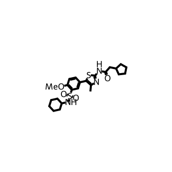 COc1ccc(-c2sc(NC(=O)CC3CCCC3)nc2C)cc1S(=O)(=O)NC1CCCCC1